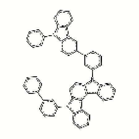 c1ccc(-c2cccc(-n3c4ccccc4c4c5c6ccccc6n(-c6cccc(-c7ccc8c(c7)c7ccccc7n8-c7ccccc7)c6)c5ccc43)c2)cc1